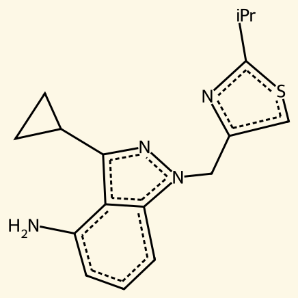 CC(C)c1nc(Cn2nc(C3CC3)c3c(N)cccc32)cs1